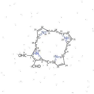 O=Cc1c(C=O)c2cc3nc(cc4ccc(cc5nc(cc1[nH]2)C=C5)[nH]4)C=C3